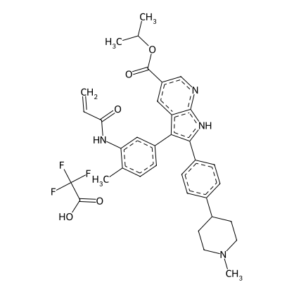 C=CC(=O)Nc1cc(-c2c(-c3ccc(C4CCN(C)CC4)cc3)[nH]c3ncc(C(=O)OC(C)C)cc23)ccc1C.O=C(O)C(F)(F)F